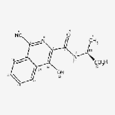 C[C@H](NC(=O)c1nc(C#N)c2ccccc2c1O)C(=O)O